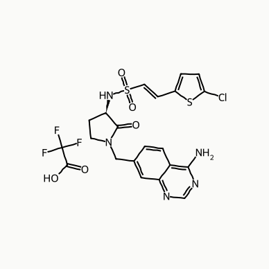 Nc1ncnc2cc(CN3CC[C@@H](NS(=O)(=O)C=Cc4ccc(Cl)s4)C3=O)ccc12.O=C(O)C(F)(F)F